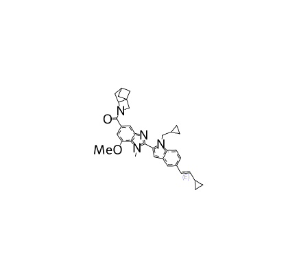 COc1cc(C(=O)N2CC34CC(CC23)C4)cc2nc(-c3cc4cc(/C=C/C5CC5)ccc4n3CC3CC3)n(C)c12